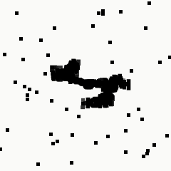 Oc1cc(-c2cc(OCCOCCCCNCc3cc(Cc4cnco4)cc(OC(F)(F)F)c3)c3cn[nH]c3c2)cnn1